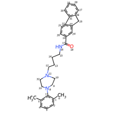 Cc1cccc(C)c1N1CCN(CCCCNC(=O)c2ccc3c(c2)Cc2ccccc2-3)CC1